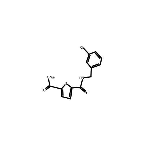 COC(=O)c1ccc(C(=O)NCc2cccc(Cl)c2)s1